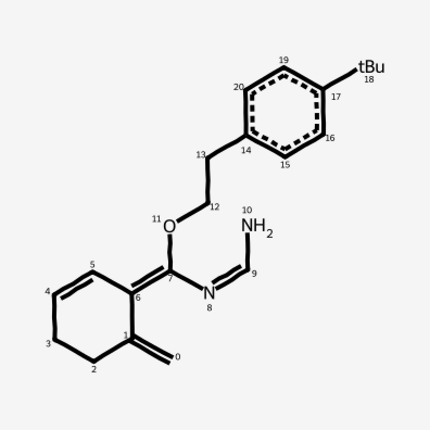 C=C1CCC=C/C1=C(/N=C\N)OCCc1ccc(C(C)(C)C)cc1